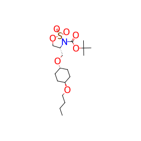 CCCCO[C@H]1CC[C@H](OC[C@@H]2COS(=O)(=O)N2C(=O)OC(C)(C)C)CC1